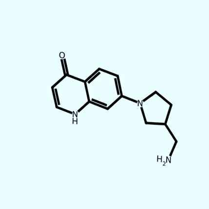 NCC1CCN(c2ccc3c(=O)cc[nH]c3c2)C1